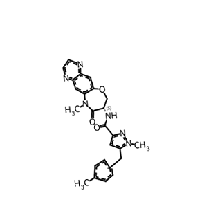 Cc1ccc(Cc2cc(C(=O)N[C@H]3COc4cc5nccnc5cc4N(C)C3=O)nn2C)cc1